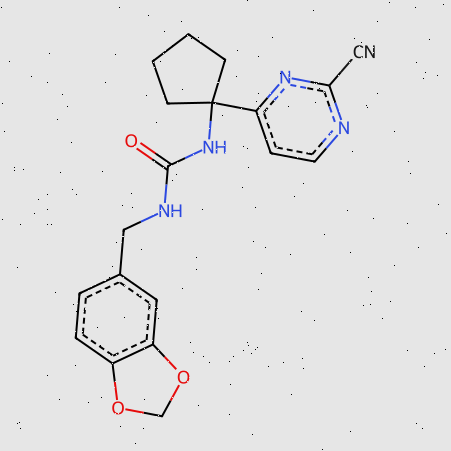 N#Cc1nccc(C2(NC(=O)NCc3ccc4c(c3)OCO4)CCCC2)n1